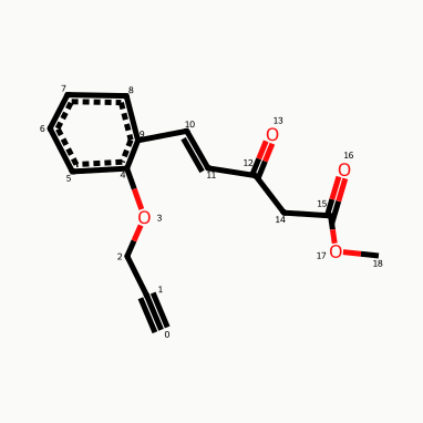 C#CCOc1ccccc1C=CC(=O)CC(=O)OC